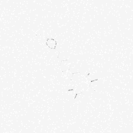 C=C(CO)C(=O)OCC(COC(=O)C(=C)CO)C1CCC(CCc2ccc(CCCCC)cc2)CO1